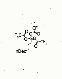 CCCCCCCCCCCCC[Si](OC(=O)C(F)(F)F)(OC(=O)C(F)(F)F)OC(=O)C(F)(F)F